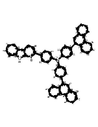 c1ccc2c(c1)cc(-c1ccc(N(c3ccc(-c4ccc5c(n4)oc4ccccc45)cc3)c3ccc(-c4cc5ccccc5c5ccccc45)cc3)cc1)c1ccccc12